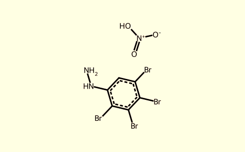 NNc1cc(Br)c(Br)c(Br)c1Br.O=[N+]([O-])O